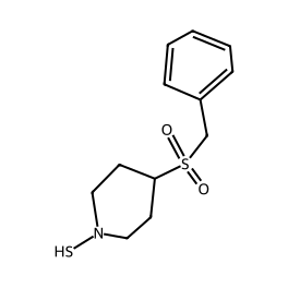 O=S(=O)(Cc1ccccc1)C1CCN(S)CC1